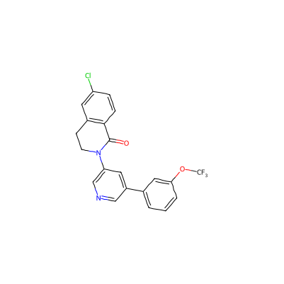 O=C1c2ccc(Cl)cc2CCN1c1cncc(-c2cccc(OC(F)(F)F)c2)c1